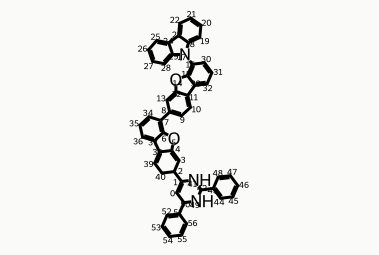 C1=C(C2C=c3oc4c(-c5ccc6c(c5)oc5c(-n7c8ccccc8c8ccccc87)cccc56)cccc4c3=CC2)NC(c2ccccc2)NC1c1ccccc1